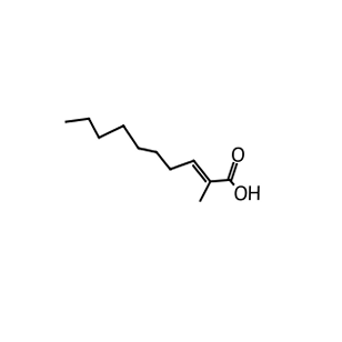 CCCCCCC/C=C(\C)C(=O)O